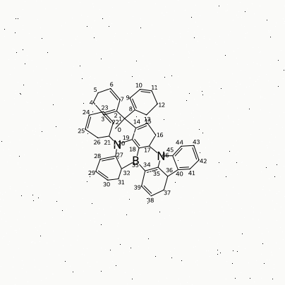 CC(C1=CCCC=C1)(C1=CC=CCC1)C1=CCC2C3=C1N(C1C=CC=CC1)C1=CC=CCC1B3C1=C3C(CC=C1)c1ccccc1N32